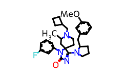 COc1cccc(CC2CCCN2C2=NC(=O)N(c3cccc(F)c3)C23CCN(CC2CCC2)C(C)C3)c1